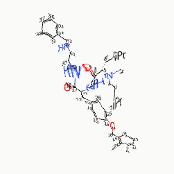 CC(C)CCN(C)[C@@H](CC(C)C)C(=O)N[C@@H](Cc1ccc(OCc2ccccc2)cc1)C(=O)NCCNCc1ccccc1